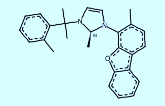 Cc1ccccc1C(C)(C)N1C=CN(c2c(C)ccc3c2oc2ccccc23)[C@H]1C